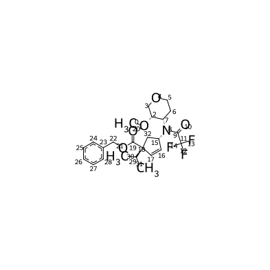 CO[C@@H]1COCC[C@@H]1N(C(=O)C(F)(F)F)[C@@H]1C=C[C@@](C(=O)OCc2ccccc2)(C(C)C)C1